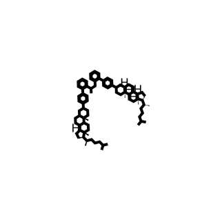 CC(C)CCC[C@@H](C)[C@H]1CC[C@H]2[C@@H]3CC[C@H]4CC(c5ccc(-c6ccccc6CC(C)c6ccccc6-c6ccc(C7CC[C@@]8(C)C(CC[C@@H]9C8CC[C@@]8(C)C9CC[C@@H]8[C@H](C)CCCC(C)C)C7)cc6)cc5)CC[C@]4(C)[C@H]3CC[C@]12C